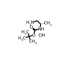 C[C@@H](CN)NC(=O)OC(C)(C)C.Cl